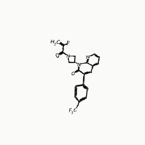 C=C(F)C(=O)N1CC(n2c(=O)c(-c3ccc(C(F)(F)F)cc3)cc3cccnc32)C1